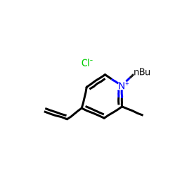 C=Cc1cc[n+](CCCC)c(C)c1.[Cl-]